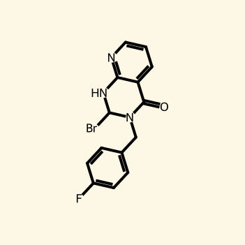 O=C1c2cccnc2NC(Br)N1Cc1ccc(F)cc1